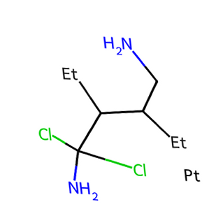 CCC(CN)C(CC)C(N)(Cl)Cl.[Pt]